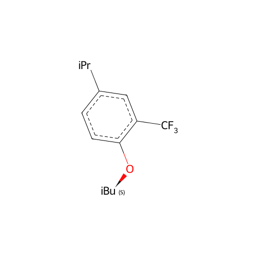 CC[C@H](C)Oc1ccc(C(C)C)cc1C(F)(F)F